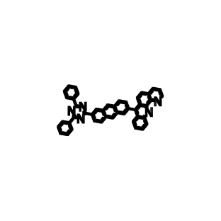 c1ccc(-c2nc(-c3ccccc3)nc(-c3ccc4cc5cc(-c6c7ccccc7nc7c6ccc6cccnc67)ccc5cc4c3)n2)cc1